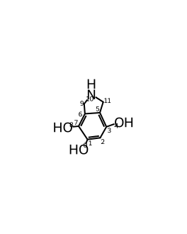 Oc1cc(O)c2c(c1O)CNC2